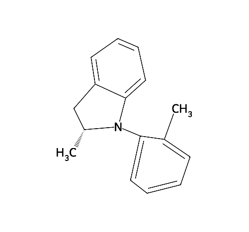 Cc1ccccc1N1c2ccccc2C[C@H]1C